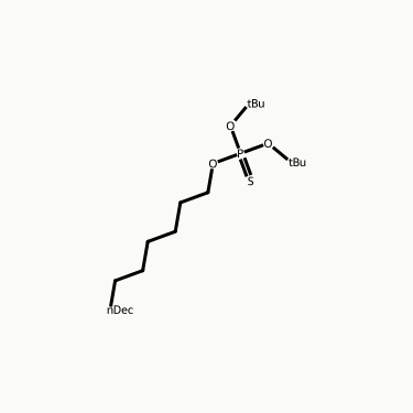 CCCCCCCCCCCCCCCCOP(=S)(OC(C)(C)C)OC(C)(C)C